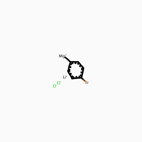 [Cl-].[Cl-].[Li+].[Mg+][c]1ccc(Br)cc1